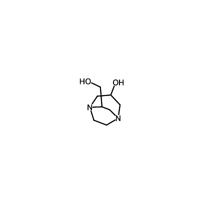 OCC1CN2CCN1CC(O)C2